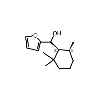 C[C@H]1CCCC(C)(C)[C@H]1C(O)c1ccco1